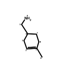 CC1=CCC(CN)CC1